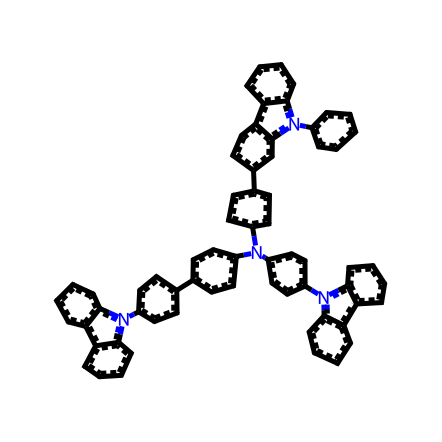 c1ccc(-n2c3ccccc3c3ccc(-c4ccc(N(c5ccc(-c6ccc(-n7c8ccccc8c8ccccc87)cc6)cc5)c5ccc(-n6c7ccccc7c7ccccc76)cc5)cc4)cc32)cc1